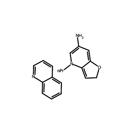 CCCN1C=C(N)C=C2OCC=C21.c1ccc2ncccc2c1